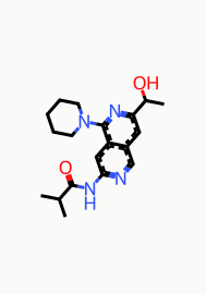 CC(C)C(=O)Nc1cc2c(N3CCCCC3)nc(C(C)O)cc2cn1